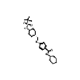 CC(C)(C)S(=O)(=O)N[C@H]1CC[C@H](CNc2ccc(C(=O)NC3CCCCC3)cc2)CC1